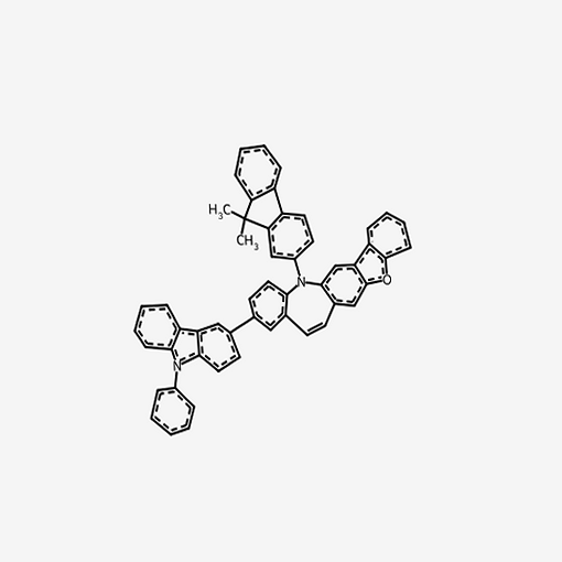 CC1(C)c2ccccc2-c2ccc(N3c4ccc(-c5ccc6c(c5)c5ccccc5n6-c5ccccc5)cc4C=Cc4cc5oc6ccccc6c5cc43)cc21